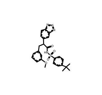 COc1cccc(CC(C(=O)NS(=O)(=O)c2ccc(C(C)(C)C)cc2)c2ccc3nsnc3c2)c1